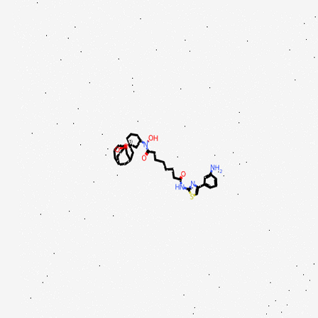 Nc1cccc(-c2csc(NC(=O)CCCCCCC(=O)N(O)C3CCC[C@]4(CC5CC6CC(C5)CC(C6)OO4)C3)n2)c1